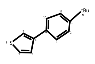 CC(C)(C)c1ccc(-c2ccsc2)cc1